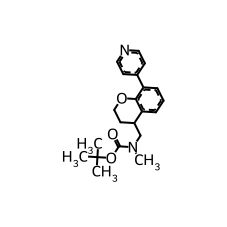 CN(CC1CCOc2c(-c3ccncc3)cccc21)C(=O)OC(C)(C)C